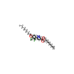 CCCCCCCCCCOc1ccc(-c2ccc([C@H]3OC[C@H](CCCCCCCC)CO3)cn2)c(F)c1F